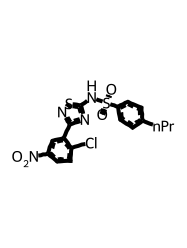 CCCc1ccc(S(=O)(=O)Nc2nc(-c3cc([N+](=O)[O-])ccc3Cl)ns2)cc1